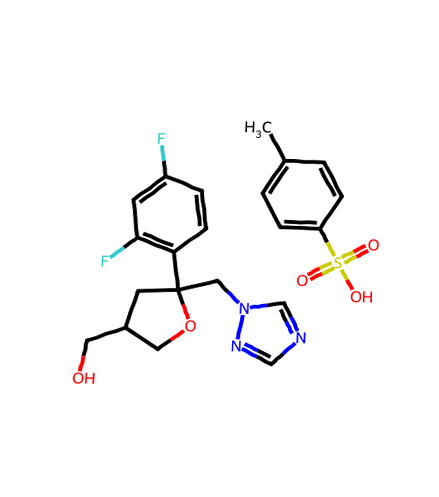 Cc1ccc(S(=O)(=O)O)cc1.OCC1COC(Cn2cncn2)(c2ccc(F)cc2F)C1